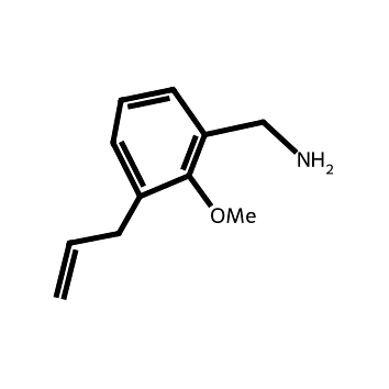 C=CCc1cccc(CN)c1OC